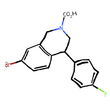 O=C(O)N1Cc2cc(Br)ccc2C(c2ccc(F)cc2)C1